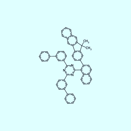 CC1(C)c2cc(-c3ccc4ccccc4c3-c3nc(-c4cccc(-c5ccccc5)c4)nc(-c4cccc(-c5ccccc5)c4)n3)ccc2-c2cc3ccccc3cc21